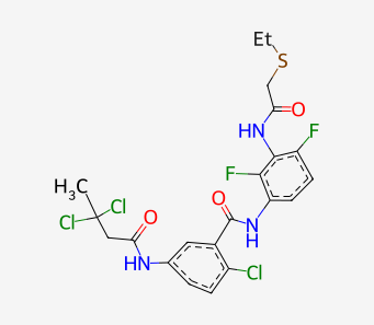 CCSCC(=O)Nc1c(F)ccc(NC(=O)c2cc(NC(=O)CC(C)(Cl)Cl)ccc2Cl)c1F